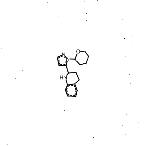 c1ccc2c(c1)CCC(c1ccnn1C1CCCCO1)N2